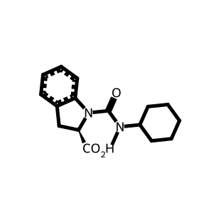 CN(C(=O)N1c2ccccc2C[C@@H]1C(=O)O)C1CCCCC1